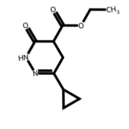 CCOC(=O)C1CC(C2CC2)=NNC1=O